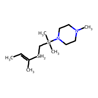 CC=C(C)[SiH2]C[Si](C)(C)N1CCN(C)CC1